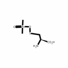 C[As](C)(=O)OSC[C@H](N)C(=O)O